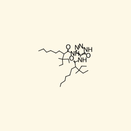 CCCCCCC(C(=O)Nc1nn[nH]c(=O)c1NC(=O)C(CCCCCC)C(C)(CC)CC)C(C)(CC)CC